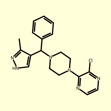 Cc1n[nH]cc1C(c1ccccc1)N1CCN(c2nccnc2Cl)CC1